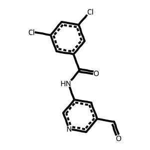 O=Cc1cncc(NC(=O)c2cc(Cl)cc(Cl)c2)c1